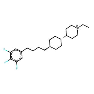 CC[SiH]1CCC([C@H]2CC[C@H](CCCCc3cc(F)c(F)c(F)c3)CC2)CC1